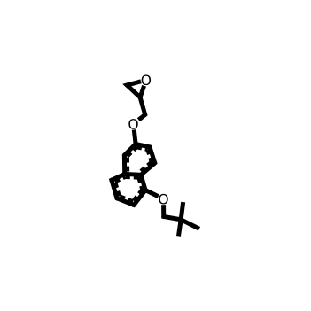 CC(C)(C)COc1cccc2cc(OCC3CO3)ccc12